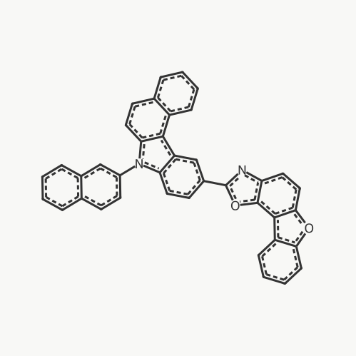 c1ccc2cc(-n3c4ccc(-c5nc6ccc7oc8ccccc8c7c6o5)cc4c4c5ccccc5ccc43)ccc2c1